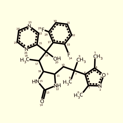 Cc1noc(C)c1C(C)(C)CC1NC(=O)NC1C(C)C(O)(c1cnccn1)c1c(F)cccc1F